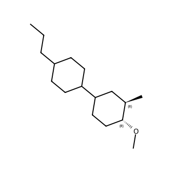 CCCC1CCC(C2CC[C@@H](OC)[C@H](C)C2)CC1